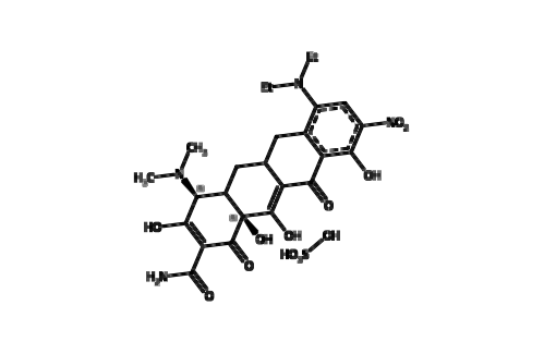 CCN(CC)c1cc([N+](=O)[O-])c(O)c2c1CC1CC3[C@H](N(C)C)C(O)=C(C(N)=O)C(=O)[C@@]3(O)C(O)=C1C2=O.O=S(=O)(O)O